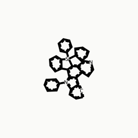 c1ccc(-n2c3ccccc3c3c4ccncc4c4c(c32)-c2ccccc2[Si]4(c2ccccc2)c2ccccc2)cc1